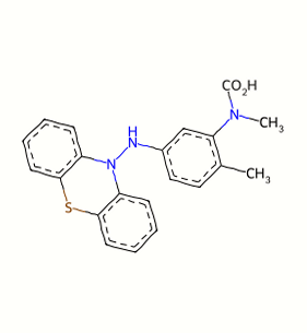 Cc1ccc(NN2c3ccccc3Sc3ccccc32)cc1N(C)C(=O)O